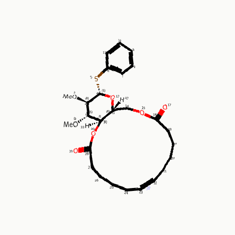 CO[C@@H]1[C@@H](OC)[C@H](Sc2ccccc2)O[C@@H]2COC(=O)CCCC/C=C\CCCCC(=O)O[C@@H]12